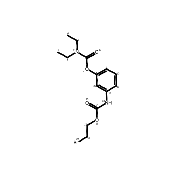 CCN(CC)C(=O)Oc1cccc(NC(=O)OCCBr)c1